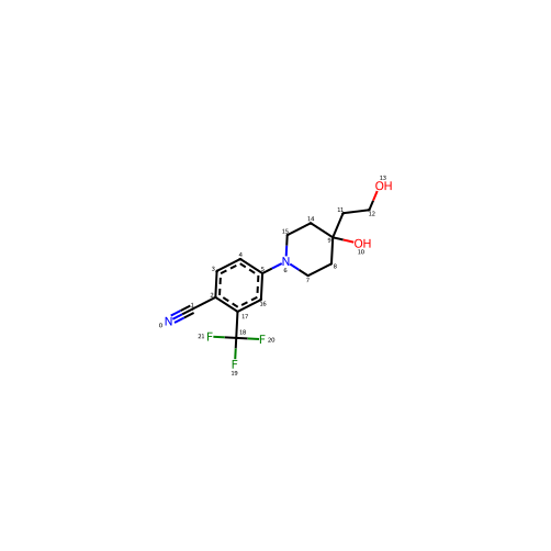 N#Cc1ccc(N2CCC(O)(CCO)CC2)cc1C(F)(F)F